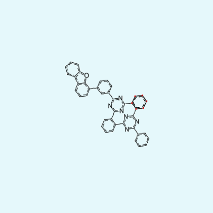 c1ccc(-c2nc(-c3ccccc3)nc(-c3ccccc3-c3nc(-c4ccccc4)nc(-c4cccc(-c5cccc6c5oc5ccccc56)c4)n3)n2)cc1